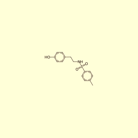 Cc1ccc(S(=O)(=O)NCCc2ccc(O)cc2)cc1